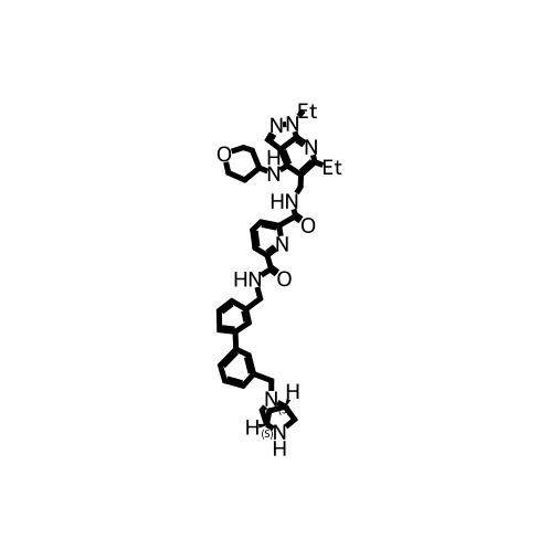 CCc1nc2c(cnn2CC)c(NC2CCOCC2)c1CNC(=O)c1cccc(C(=O)NCc2cccc(-c3cccc(CN4C[C@@H]5C[C@H]4CN5)c3)c2)n1